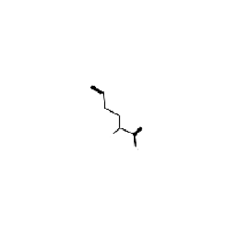 C=CCCC(N)C(=O)O